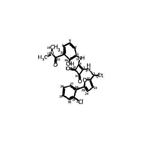 CCC(Nc1c(Nc2cccc(C(=O)N(C)C)c2O)c(=O)c1=O)c1ccc(-c2ccccc2Cl)o1